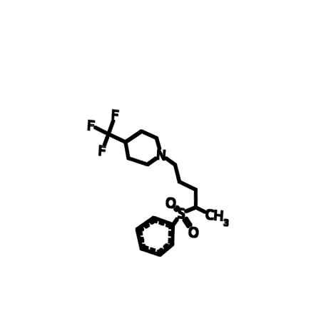 CC(CCCN1CCC(C(F)(F)F)CC1)S(=O)(=O)c1ccccc1